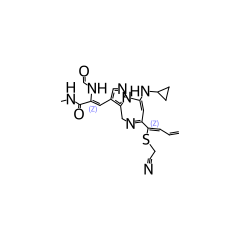 C=C/C=C(\SCC#N)C1=NCc2c(/C=C(\NC=O)C(=O)NC)cnn2C(NC2CC2)=C1